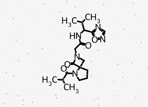 CC(C)C(=O)N1CCCC12CN(CC(=O)NC(c1ncno1)C(C)C)C2=O